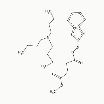 CCCCN(CCCC)CCCC.COC(=O)CCC(=O)OSc1nc2ccccc2s1